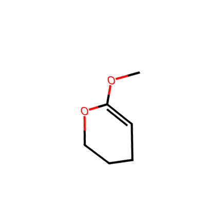 COC1=CCCCO1